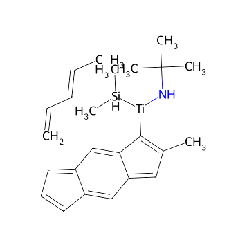 C=CC=CC.CC1=[C]([Ti]([NH]C(C)(C)C)[SiH](C)C)c2cc3c(cc2=C1)C=CC=3